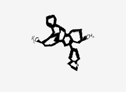 Cc1ccc2c(c1)c(-c1ccc3ncccc3c1)cc1c3ccc(C)c4c3c(cc21)-c1ccccc1-4